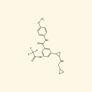 O=C(Nc1ccc(OC(F)(F)F)cc1)c1cccc(C2CC2NCC2CC2)c1.O=C(O)C(F)(F)F